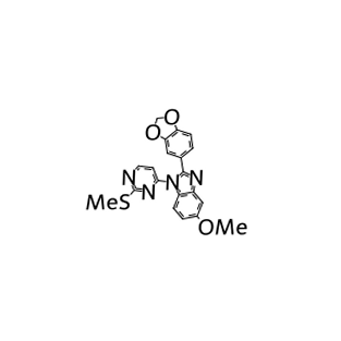 COc1ccc2c(c1)nc(-c1ccc3c(c1)OCO3)n2-c1ccnc(SC)n1